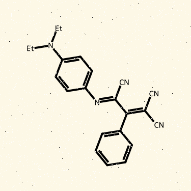 CCN(CC)c1ccc(N=C(C#N)C(=C(C#N)C#N)c2ccccc2)cc1